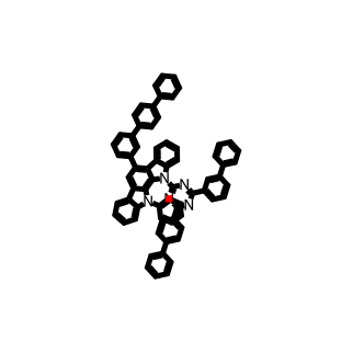 c1ccc(-c2ccc(-c3cccc(-c4cc5c6ccccc6n(-c6ccccc6)c5c5c4c4ccccc4n5-c4nc(-c5ccc(-c6ccccc6)cc5)nc(-c5cccc(-c6ccccc6)c5)n4)c3)cc2)cc1